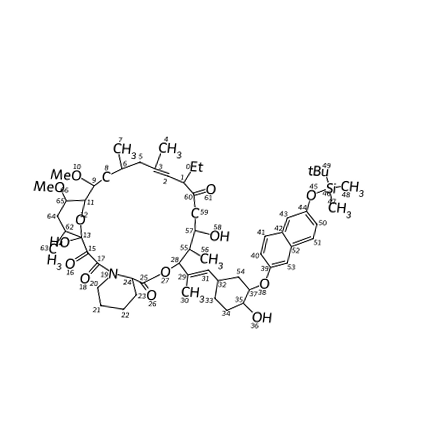 CCC1/C=C(\C)CC(C)CC(OC)C2OC(O)(C(=O)C(=O)N3CCCCC3C(=O)OC(C(C)=CC3CCC(O)C(Oc4ccc5cc(O[Si](C)(C)C(C)(C)C)ccc5c4)C3)C(C)C(O)CC1=O)C(C)CC2OC